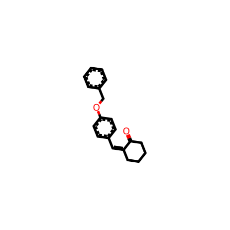 O=C1CCCCC1=Cc1ccc(OCc2ccccc2)cc1